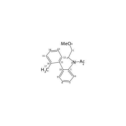 COCCN(C(C)=O)c1ccccc1-c1ccccc1C